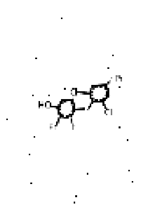 CCCc1cc(Cl)c(Cc2ccc(O)c(C(C)C)c2F)c(Cl)c1